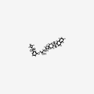 O=S(=O)(c1cccc(OC[C@@H](O)CNC2COC3(CCN(S(=O)(=O)c4ccc5ccccc5c4)CC3)C2)c1)C1CCC1